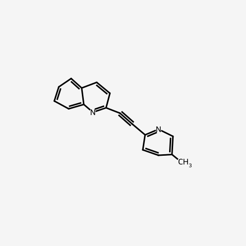 Cc1ccc(C#Cc2ccc3ccccc3n2)nc1